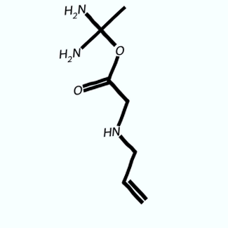 C=CCNCC(=O)OC(C)(N)N